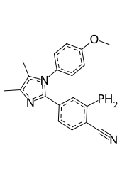 COc1ccc(-n2c(-c3ccc(C#N)c(P)c3)nc(C)c2C)cc1